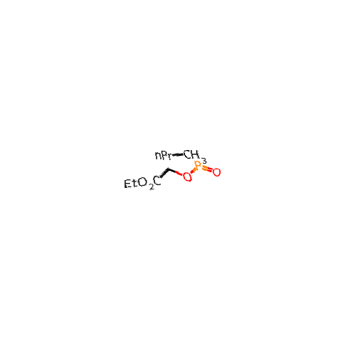 CCCC.CCOC(=O)COP=O